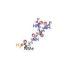 CN[C@@H](CCCCNC(=O)CCC(=O)N(CCNC(=O)CI)CCNC(=O)CI)C(=O)P